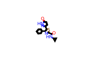 O=C(NC1CC1)c1nc(-c2ccccc2)c(-c2ccc(=O)[nH]n2)s1